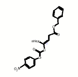 CCCCCC/C(=C\CC(=O)OCc1ccccc1)OC(=O)Oc1ccc([N+](=O)[O-])cc1